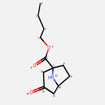 CCCCOC(=O)C12CCC(CC(=O)C1)N2